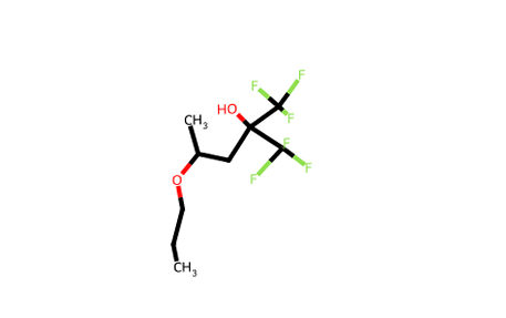 CCCOC(C)CC(O)(C(F)(F)F)C(F)(F)F